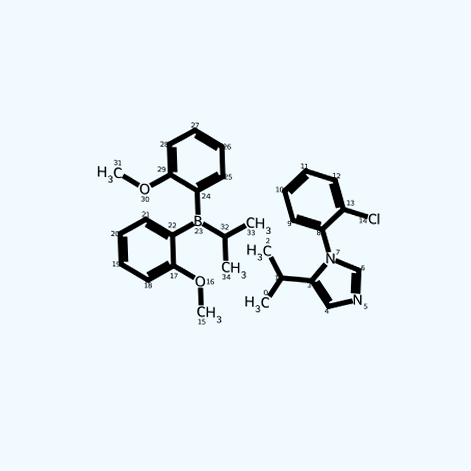 CC(C)c1cncn1-c1ccccc1Cl.COc1ccccc1B(c1ccccc1OC)C(C)C